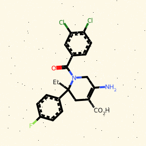 CCC1(c2ccc(F)cc2)CC(C(=O)O)=C(N)CN1C(=O)c1ccc(Cl)c(Cl)c1